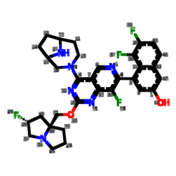 Oc1cc(-c2ncc3c(N4CCC5CCC(C4)N5)nc(OC[C@@]45CCCN4C[C@H](F)C5)nc3c2F)c2c(F)c(F)ccc2c1